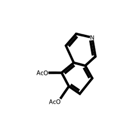 CC(=O)Oc1ccc2cnccc2c1OC(C)=O